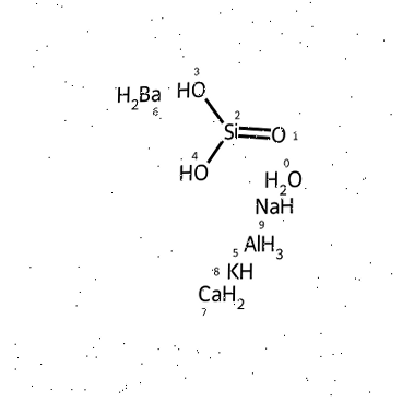 O.O=[Si](O)O.[AlH3].[BaH2].[CaH2].[KH].[NaH]